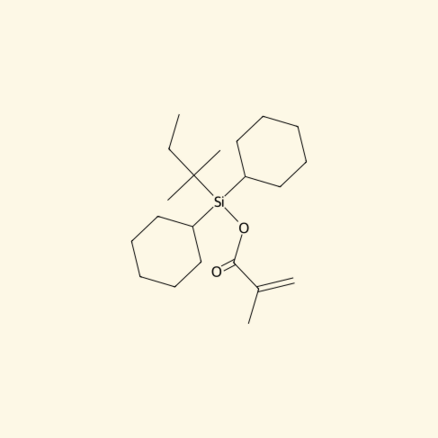 C=C(C)C(=O)O[Si](C1CCCCC1)(C1CCCCC1)C(C)(C)CC